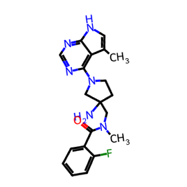 Cc1c[nH]c2ncnc(N3CCC(N)(CN(C)C(=O)c4ccccc4F)C3)c12